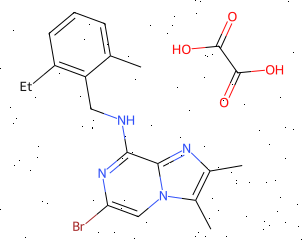 CCc1cccc(C)c1CNc1nc(Br)cn2c(C)c(C)nc12.O=C(O)C(=O)O